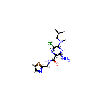 CC(C)CN(C)c1nc(N)c(C(=O)NCc2nccs2)nc1Cl